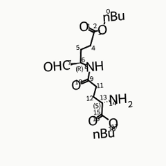 CCCCOC(=O)CC[C@H](C=O)NC(=O)CC[C@H](N)C(=O)OCCCC